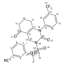 C[S+]([O-])c1cc(C#N)ccc1[C@@H]1C2=C(CCCC2=O)N(c2cccc(C(F)(F)F)c2)C(=O)N1S(C)(=O)=O